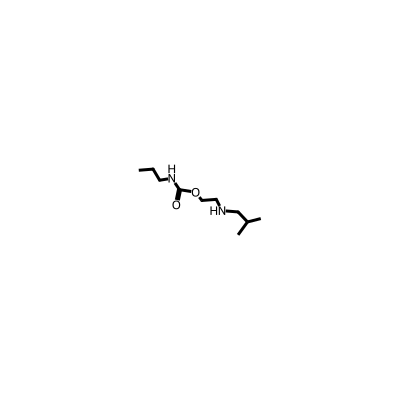 CCCNC(=O)OCCNCC(C)C